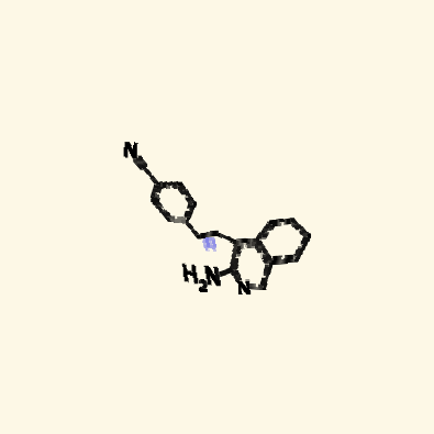 N#Cc1ccc(/C=C/c2c(N)ncc3ccccc23)cc1